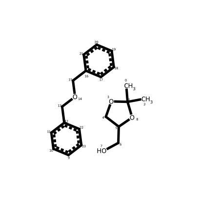 CC1(C)OCC(CO)O1.c1ccc(COCc2ccccc2)cc1